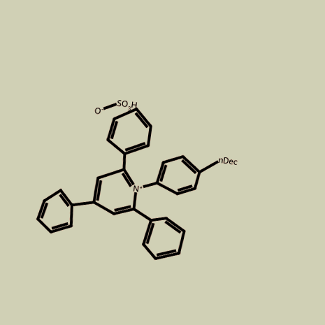 CCCCCCCCCCc1ccc(-[n+]2c(-c3ccccc3)cc(-c3ccccc3)cc2-c2ccccc2)cc1.O=S(=O)([O-])O